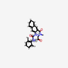 COC(=O)CN(C)C(=O)c1cc2ccccc2cc1NC(=O)Nc1c(C)cccc1C